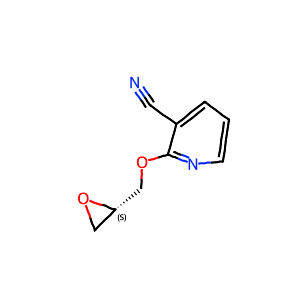 N#Cc1cccnc1OC[C@@H]1CO1